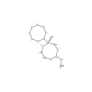 O=P1(C2CCCCCCC2)COOCC(CO)CO1